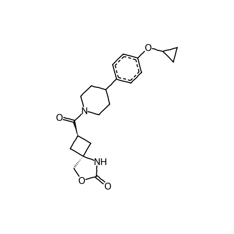 O=C1N[C@]2(CO1)C[C@H](C(=O)N1CCC(c3ccc(OC4CC4)cc3)CC1)C2